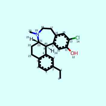 CCc1ccc2c(c1)[C@@H]1c3cc(O)c(Cl)cc3CCN(C)[C@H]1CC2